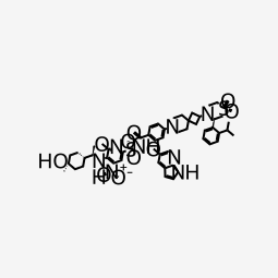 CC(C)c1ccccc1[C@@H]1CS(=O)(=O)CCN1C1CC2(CCN(c3ccc(C(=O)NS(=O)(=O)c4cc([N+](=O)[O-])c5c(n4)OC[C@H]([C@H]4CC[C@](C)(O)CC4)N5)c(Oc4cnc5[nH]ccc5c4)c3)CC2)C1